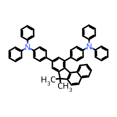 CC1(C)c2cc(-c3ccc(N(c4ccccc4)c4ccccc4)cc3)cc(-c3ccc(N(c4ccccc4)c4ccccc4)cc3)c2-c2c1ccc1ccccc21